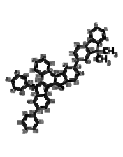 CC1(C)c2ccccc2-c2ccc(-c3ccc4sc5c(c4c3)c3ccccc3c3c5c4ccc(-c5ccccc5)cc4n3-c3ccccc3)cc21